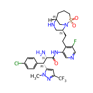 Cn1nc(C(F)(F)F)cc1[C@H](c1ccc(Cl)cc1)[C@H](N)C(=O)Nc1cncc(F)c1CC[C@H]1CN[C@@H]2CCCS(=O)(=O)N1C2